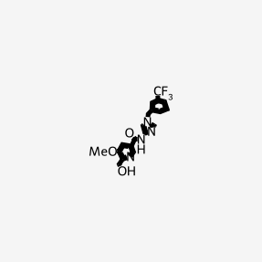 COc1cc(C(=O)Nc2cn(Cc3cccc(C(F)(F)F)c3)cn2)cnc1CO